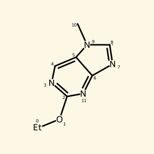 CCOc1ncc2c(n[c]n2C)n1